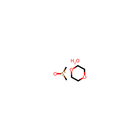 C1COCCO1.C[S+](C)[O-].O